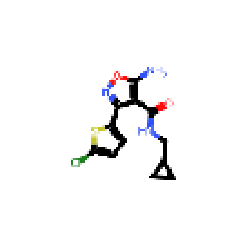 Nc1onc(-c2ccc(Cl)s2)c1C(=O)NCC1CC1